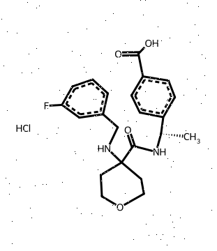 C[C@H](NC(=O)C1(NCc2cccc(F)c2)CCOCC1)c1ccc(C(=O)O)cc1.Cl